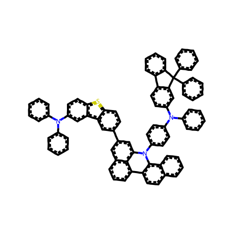 c1ccc(N(c2ccc(N3c4c(ccc5ccccc45)-c4cccc5cc(-c6ccc7sc8ccc(N(c9ccccc9)c9ccccc9)cc8c7c6)cc3c45)cc2)c2ccc3c(c2)C(c2ccccc2)(c2ccccc2)c2ccccc2-3)cc1